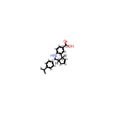 CC(C)c1ccc([C@@H]2Nc3ccc(C(=O)O)cc3[C@@H]3C=CC[C@@H]32)cc1